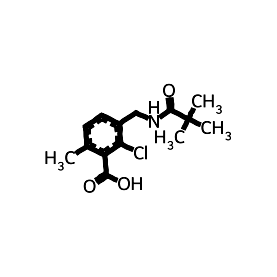 Cc1ccc(CNC(=O)C(C)(C)C)c(Cl)c1C(=O)O